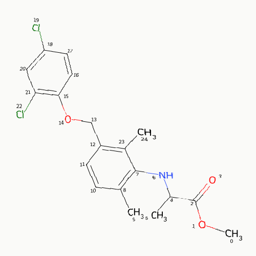 COC(=O)C(C)Nc1c(C)ccc(COc2ccc(Cl)cc2Cl)c1C